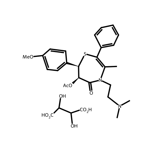 COc1ccc([C@H]2SC(c3ccccc3)=C(C)N(CCN(C)C)C(=O)[C@H]2OC(C)=O)cc1.O=C(O)C(O)C(O)C(=O)O